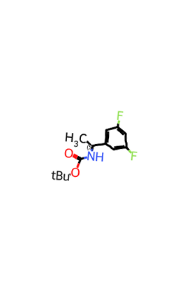 C[C@H](NC(=O)OC(C)(C)C)c1cc(F)cc(F)c1